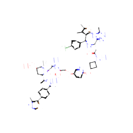 C=C(N[C@@H](C)c1ccc(-c2scnc2C)cc1)[C@H]1CC(O)CN1C(=O)[C@@H](NC(=O)COc1ccc(O[C@H]2C[C@@H](NC(=O)C[C@@H]3N=C(c4ccc(Cl)cc4)c4c(sc(C)c4C)-n4c(C)nnc43)C2)nc1)C(C)(C)C